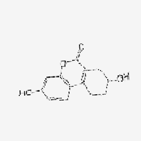 O=c1oc2cc(O)ccc2c2c1CC(O)CC2